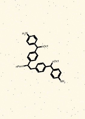 CCCCCCCCC(c1ccc(N)cc1)c1ccc(CC(CCCCC)c2ccc(C(CCCCCCCC)c3ccc(N)cc3)cc2)cc1